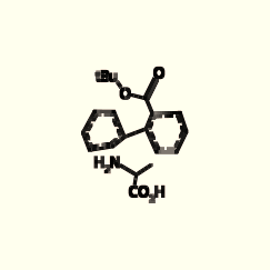 CC(C)(C)OC(=O)c1ccccc1-c1ccccc1.CC(N)C(=O)O